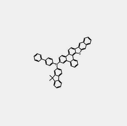 CC1(C)c2ccccc2-c2ccc(N(c3ccc(-c4ccccc4)cc3)c3ccc4c(c3)c3ccccc3c3c4ccc4c5cc6ccccc6cc5sc43)cc21